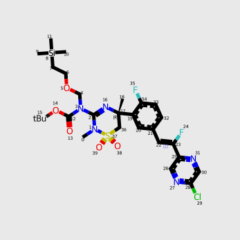 CN1C(N(COCC[Si](C)(C)C)C(=O)OC(C)(C)C)=N[C@](C)(c2cc(/C=C(\F)c3cnc(Cl)cn3)ccc2F)CS1(=O)=O